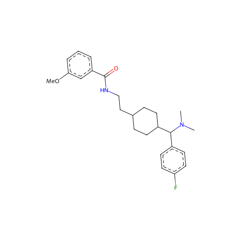 COc1cccc(C(=O)NCCC2CCC(C(c3ccc(F)cc3)N(C)C)CC2)c1